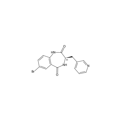 O=C1N[C@H](Cc2cccnc2)C(=O)Nc2ccc(Br)cc21